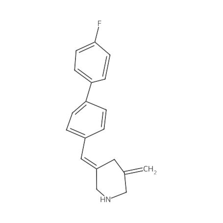 C=C1CNCC(=Cc2ccc(-c3ccc(F)cc3)cc2)C1